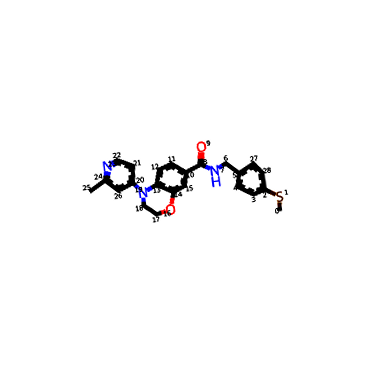 CSc1ccc(CNC(=O)c2ccc3c(c2)OCCN3c2ccnc(C)c2)cc1